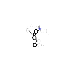 CCOCCn1c2ccc(C(=O)c3ccccc3C)cc2c2cc(/C(C)=N\OC(C)=O)ccc21